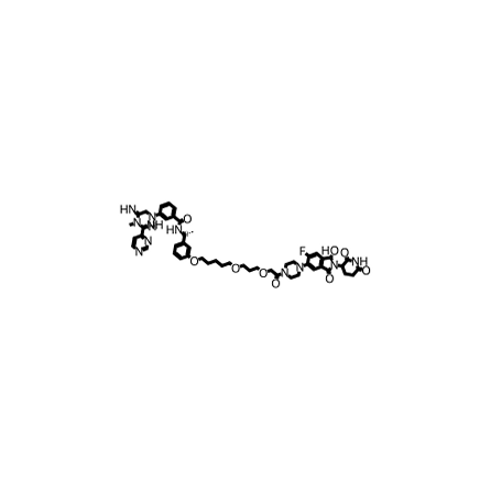 C[C@@H](NC(=O)c1cccc(NCC(=N)N(C)C(=N)c2ccncn2)c1)c1cccc(OCCCCCOCCCOCC(=O)N2CCN(c3cc4c(cc3F)C(O)N(C3CCC(=O)NC3=O)C4=O)CC2)c1